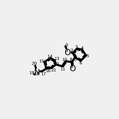 COc1ccccc1C(=O)C=Cc1cccc(CN(C)C)c1